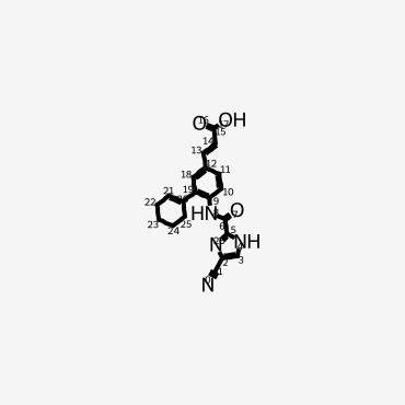 N#Cc1c[nH]c(C(=O)Nc2ccc(C=CC(=O)O)cc2C2=CCCCC2)n1